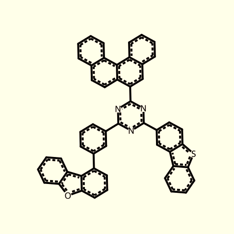 c1cc(-c2nc(-c3ccc4sc5ccccc5c4c3)nc(-c3cc4ccccc4c4c3ccc3ccccc34)n2)cc(-c2cccc3oc4ccccc4c23)c1